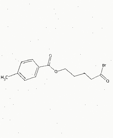 Cc1ccc(C(=O)OCCCCC(=O)Br)cc1